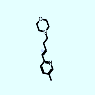 Cc1ccc(/C=C/CCN2CCOCC2)nc1